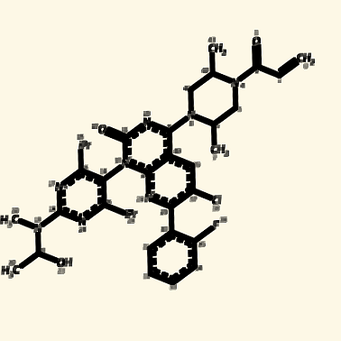 C=CC(=O)N1CC(C)N(c2nc(=O)n(-c3c(C(C)C)nc(N(C)C(C)O)nc3C(C)C)c3nc(-c4ccccc4F)c(Cl)cc23)CC1C